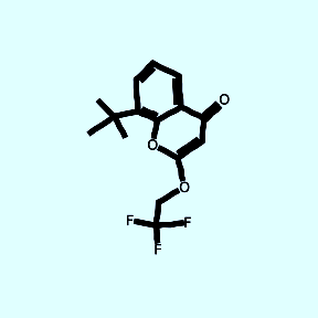 CC(C)(C)c1cccc2c(=O)cc(OCC(F)(F)F)oc12